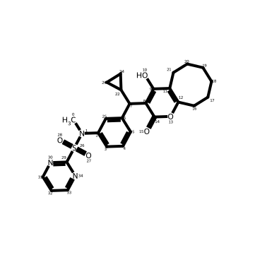 CN(c1cccc(C(c2c(O)c3c(oc2=O)CCCCCC3)C2CC2)c1)S(=O)(=O)c1ncccn1